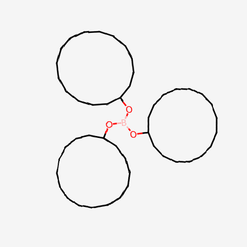 C1CCCCCCCC(OB(OC2CCCCCCCCCCCCCCC2)OC2CCCCCCCCCCCCCCC2)CCCCCCC1